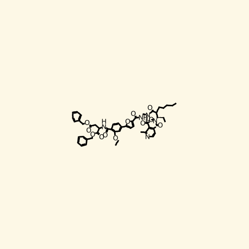 CCCCCC(C(=O)NCNC(=O)c1ccc(-c2ccc(C(=O)NC(CC(=O)OCc3ccccc3)C(=O)OCc3ccccc3)c(OCC)c2)o1)[C@@H](CC)N(C=O)OC(=O)c1c(C)ccnc1C